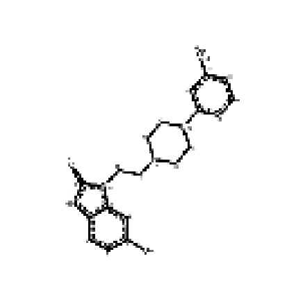 O=c1[nH]c2ccc(O)cc2n1CCN1CCN(c2cccc(C(F)(F)F)c2)CC1